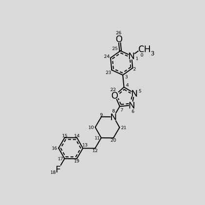 Cn1cc(-c2nnc(N3CCC(Cc4cccc(F)c4)CC3)o2)ccc1=O